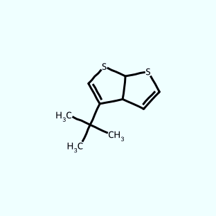 CC(C)(C)C1=CSC2SC=CC12